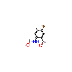 O=CNc1ccc(Br)cc1C=O